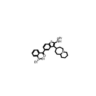 CCCNc1sc2ccc(C(=O)c3ccccc3N(CC)CC)cc2c1C1CCC2CCCCN2CC1